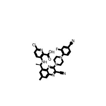 Cc1cc([C@@H](C)Nc2ccc(Cl)nc2C(=O)O)c2nc(N3CCN(c4ccc(C#N)cc4F)CC3)c(C#N)nc2c1